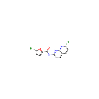 O=C(Nc1ccc2ccc(Cl)nc2n1)c1ccc(Br)o1